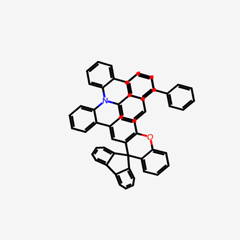 c1ccc(-c2ccc(-c3ccccc3N(c3ccccc3-c3ccc4c(c3)C3(c5ccccc5O4)c4ccccc4-c4ccccc43)c3cccc4ccccc34)cc2)cc1